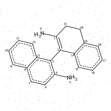 NC1=C(c2c(N)ccc3ccccc23)c2ccccc2CC1